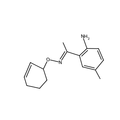 C/C(=N\OC1C=CCCC1)c1cc(C)ccc1N